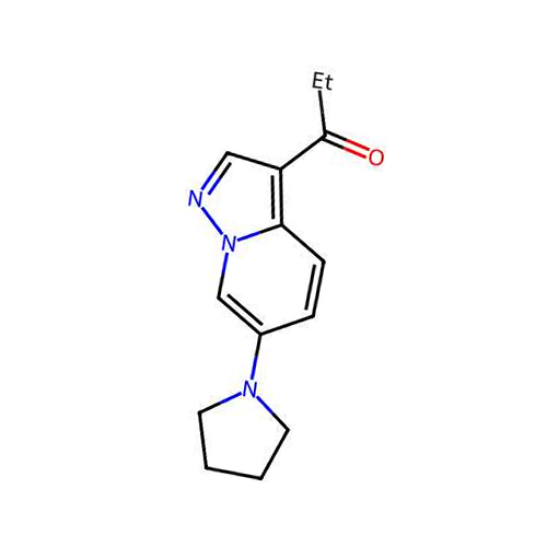 CCC(=O)c1cnn2cc(N3CCCC3)ccc12